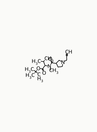 C#CCN1CCC(C(=O)N(C)C(C(=O)OC(C)(C)C)C(C)C)C1